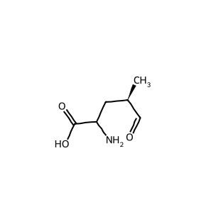 C[C@@H](C=O)CC(N)C(=O)O